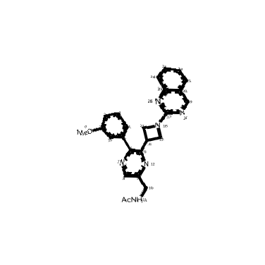 COc1cccc(-c2ncc(CNC(C)=O)nc2C2CN(c3ncc4ccccc4n3)C2)c1